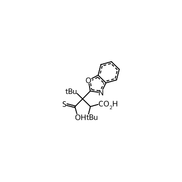 CC(C)(C)C(C(=O)O)C(C(O)=S)(c1nc2ccccc2o1)C(C)(C)C